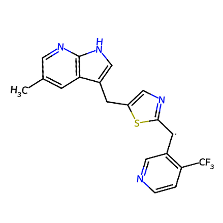 Cc1cnc2[nH]cc(Cc3cnc([CH]c4cnccc4C(F)(F)F)s3)c2c1